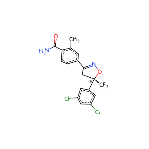 Cc1cc(C2=NO[C@@](c3cc(Cl)cc(Cl)c3)(C(F)(F)F)C2)ccc1C(N)=O